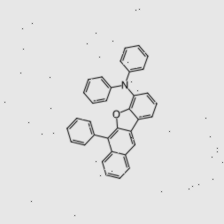 c1ccc(-c2c3ccccc3cc3c2oc2c(N(c4ccccc4)c4ccccc4)cccc23)cc1